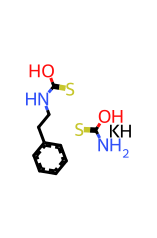 NC(O)=S.OC(=S)NCCc1ccccc1.[KH]